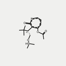 CC(=O)Oc1cccnc(=O)c1[C@H](CO[SiH](C)C)C(C)(C)C